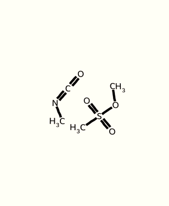 CN=C=O.COS(C)(=O)=O